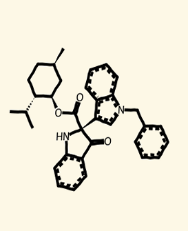 CC(C)[C@@H]1CC[C@@H](C)C[C@H]1OC(=O)[C@@]1(c2cn(Cc3ccccc3)c3ccccc23)Nc2ccccc2C1=O